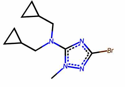 Cn1nc(Br)nc1N(CC1CC1)CC1CC1